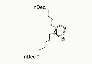 CCCCCCCCCCCCC=Cc1cccc[n+]1CCCCCCCCCCCCCCCC.[Br-]